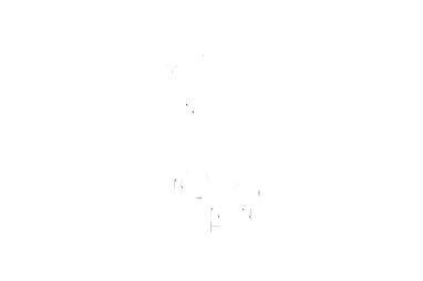 CS(=O)(=O)CCN1CCC(Oc2cncc3[nH]c4ncccc4c23)CC1